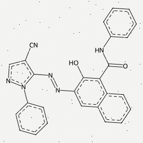 N#Cc1cnn(-c2ccccc2)c1/N=N/c1cc2ccccc2c(C(=O)Nc2ccccc2)c1O